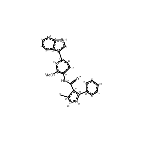 COc1nc(-c2c[nH]c3ncccc23)ccc1NC(=O)c1c(-c2ccccc2)noc1C